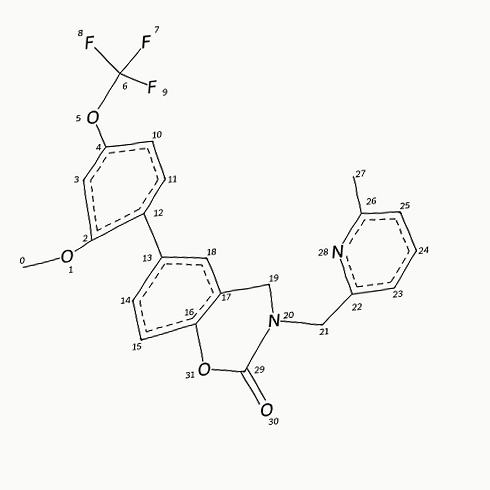 COc1cc(OC(F)(F)F)ccc1-c1ccc2c(c1)CN(Cc1cccc(C)n1)C(=O)O2